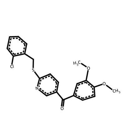 COc1ccc(C(=O)c2ccc(SCc3ccccc3Cl)nc2)cc1OC